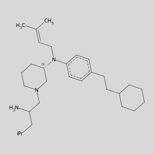 CC(C)=CCN(c1ccc(CCC2CCCCC2)cc1)[C@H]1CCCN(CC(N)CC(C)C)C1